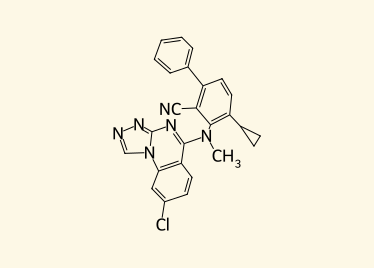 CN(c1c(C2CC2)ccc(-c2ccccc2)c1C#N)c1nc2nncn2c2cc(Cl)ccc12